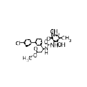 CCOC(=O)CC(NC(=O)Nc1c(O)c(C)cn(C)c1=O)c1cccc(-c2ccc(Cl)cc2)c1